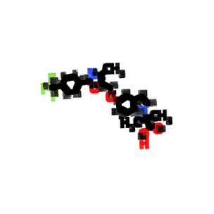 Cc1nc(-c2ccc(C(F)(F)F)cc2)oc1COc1ccc2c(ccn2C(C)(C)C(=O)O)c1